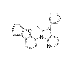 CC1N(c2ccccc2)c2cccnc2N1c1cccc2c1oc1ccccc12